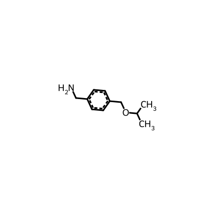 CC(C)OCc1ccc(CN)cc1